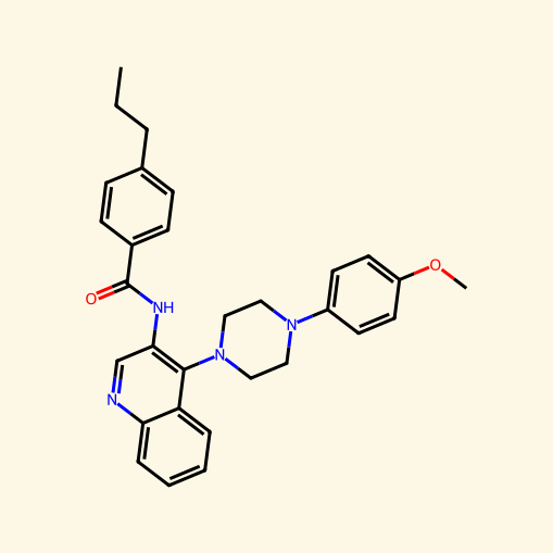 CCCc1ccc(C(=O)Nc2cnc3ccccc3c2N2CCN(c3ccc(OC)cc3)CC2)cc1